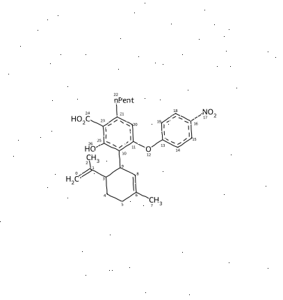 C=C(C)C1CCC(C)=CC1c1c(Oc2ccc([N+](=O)[O-])cc2)cc(CCCCC)c(C(=O)O)c1O